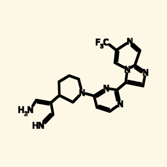 N=C/C(=C\N)C1CCCN(c2ccnc(-c3cnc4cnc(C(F)(F)F)cn34)n2)C1